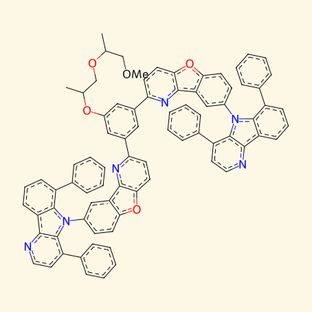 COCC(C)OCC(C)Oc1cc(-c2ccc3oc4ccc(-n5c6c(-c7ccccc7)cccc6c6nccc(-c7ccccc7)c65)cc4c3n2)cc(-c2ccc3oc4ccc(-n5c6c(-c7ccccc7)cccc6c6nccc(-c7ccccc7)c65)cc4c3n2)c1